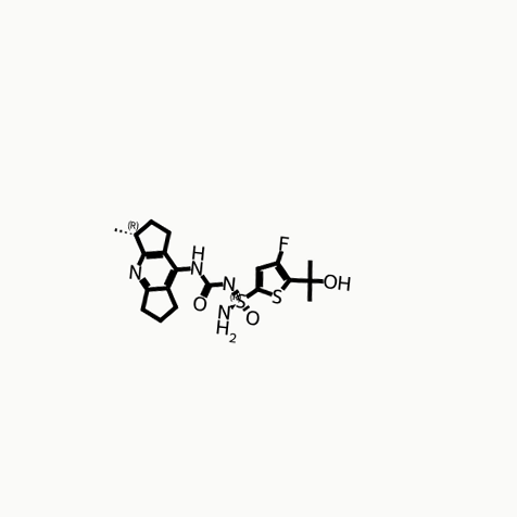 C[C@@H]1CCc2c1nc1c(c2NC(=O)N=[S@@](N)(=O)c2cc(F)c(C(C)(C)O)s2)CCC1